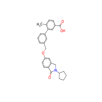 Cc1ccc(C(=O)O)cc1-c1cccc(COc2ccc3c(c2)CN(C2CCCC2)C3=O)c1